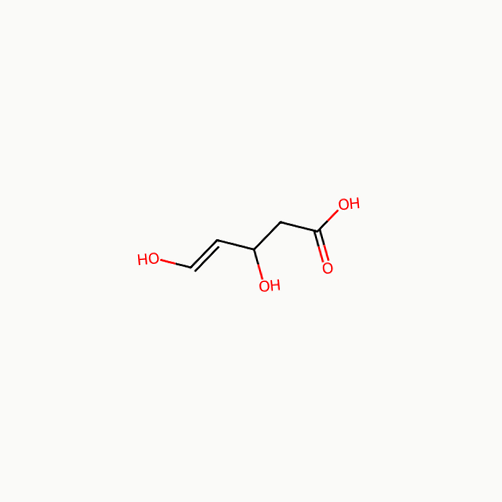 O=C(O)CC(O)C=CO